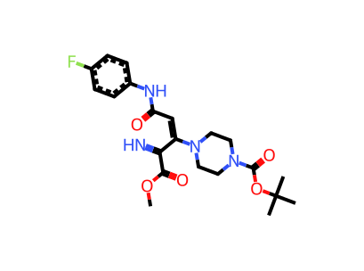 COC(=O)C(=N)/C(=C\C(=O)Nc1ccc(F)cc1)N1CCN(C(=O)OC(C)(C)C)CC1